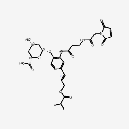 CC(C)C(=O)OC/C=C/c1ccc(O[C@H]2C[C@@H](O)C[C@@H](C(=O)O)O2)c(NC(=O)CCNC(=O)CN2C(=O)C=CC2=O)c1